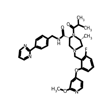 COc1cc(Oc2cccc(F)c2CN2C[C@@H](C)N(C(=O)C(C)C)[C@@H](C(=O)NCc3ccc(-c4ncccn4)cc3)C2)ccn1